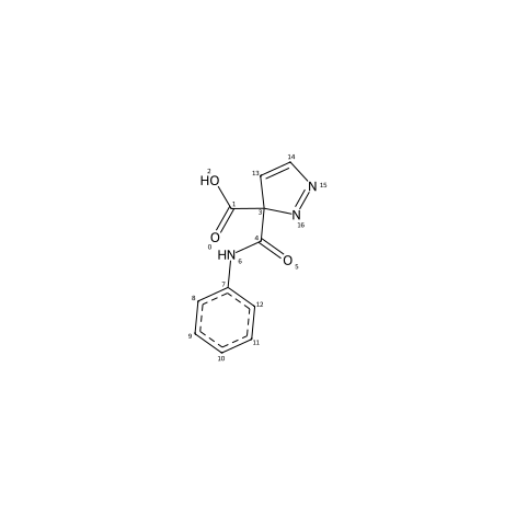 O=C(O)C1(C(=O)Nc2ccccc2)C=CN=N1